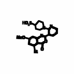 CCc1cc(OC)cc2nc(-c3cccnc3N3CCC(S(=O)(=O)O)CC3)oc(=O)c12